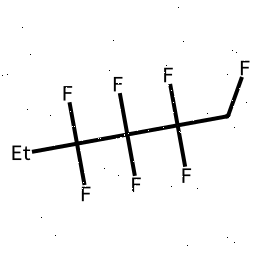 [CH2]CC(F)(F)C(F)(F)C(F)(F)CF